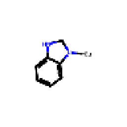 CCCCN1CNc2ccccc21